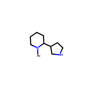 [CH2]C(=O)N1CCCCC1C1CCNC1